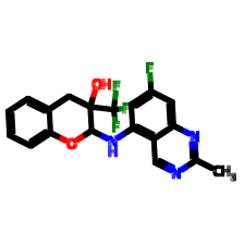 Cc1ncc2c(NC3Oc4ccccc4CC3(O)C(F)(F)F)cc(F)cc2n1